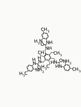 CCc1c(CNC(=O)Nc2ccc(C)cc2N)c(CC)c(CNC(=O)Nc2ccc(C)cc2N)c(CC)c1CNC(=O)Nc1ccc(C)cc1N